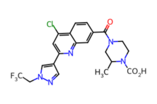 CC1CN(C(=O)c2ccc3c(Cl)cc(-c4cnn(CC(F)(F)F)c4)nc3c2)CCN1C(=O)O